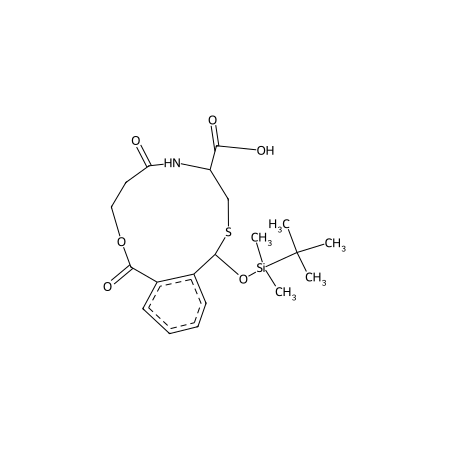 CC(C)(C)[Si](C)(C)OC1SCC(C(=O)O)NC(=O)CCOC(=O)c2ccccc21